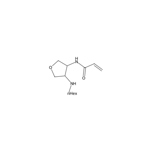 C=CC(=O)NC1COCC1NCCCCCC